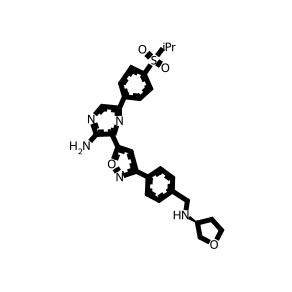 CC(C)S(=O)(=O)c1ccc(-c2cnc(N)c(-c3cc(-c4ccc(CN[C@H]5CCOC5)cc4)no3)n2)cc1